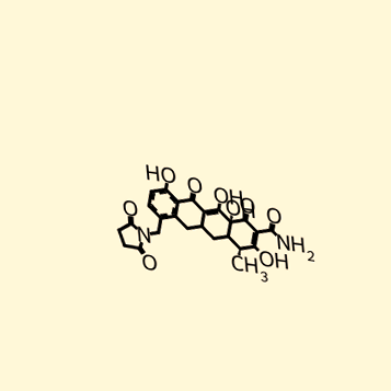 C[C@@H]1C(O)=C(C(N)=O)C(=O)[C@@]2(O)C(O)=C3C(=O)c4c(O)ccc(CN5C(=O)CCC5=O)c4CC3CC12